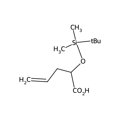 C=CCC(O[Si](C)(C)C(C)(C)C)C(=O)O